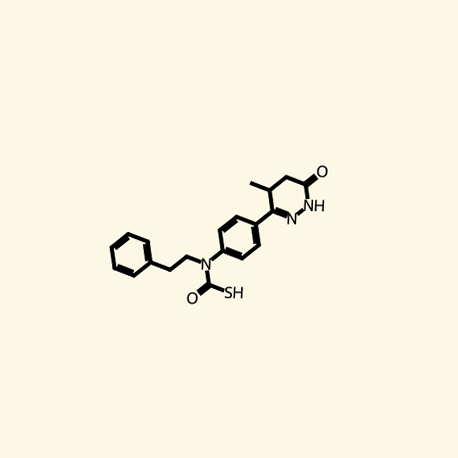 CC1CC(=O)NN=C1c1ccc(N(CCc2ccccc2)C(=O)S)cc1